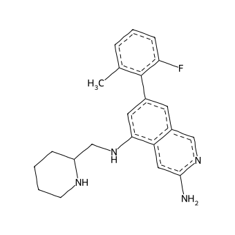 Cc1cccc(F)c1-c1cc(NCC2CCCCN2)c2cc(N)ncc2c1